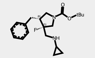 CC(C)(C)OC(=O)N1C[C@@H](Cc2ccccc2)[C@](F)(CNC2CC2)C1